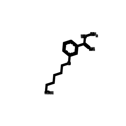 CCCCCCCCCCCCCCCOc1cccc(C(=N)NN)c1